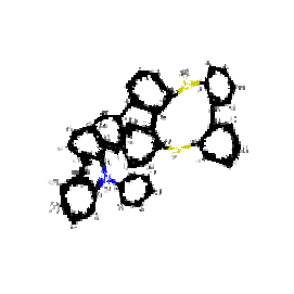 c1ccc(-c2cccc3c2-c2cc(-c4cccc5c6ccccc6n(-c6ccccc6)c45)ccc2Sc2ccccc2-c2ccccc2S3)cc1